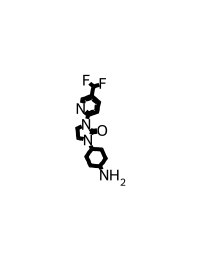 NC1CCC(N2CCN(c3ccc(C(F)F)cn3)C2=O)CC1